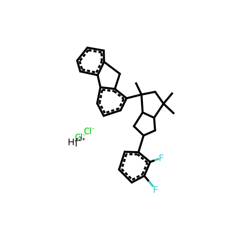 CC1(C)CC(C)(c2cccc3c2Cc2ccccc2-3)C2CC(c3cccc(F)c3F)CC21.[Cl-].[Cl-].[Hf+2]